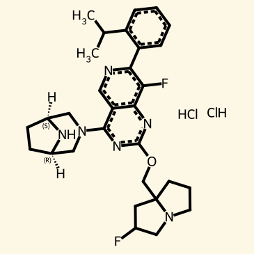 CC(C)c1ccccc1-c1ncc2c(N3C[C@H]4CC[C@@H](C3)N4)nc(OCC34CCCN3CC(F)C4)nc2c1F.Cl.Cl